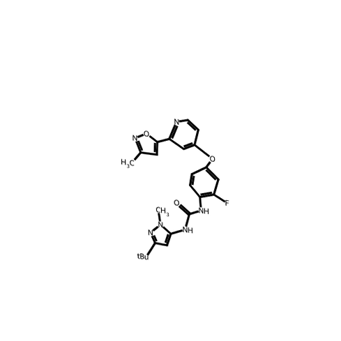 Cc1cc(-c2cc(Oc3ccc(NC(=O)Nc4cc(C(C)(C)C)nn4C)c(F)c3)ccn2)on1